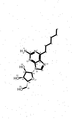 CCCCCCc1nc(N)nc2c1ncn2[C@@H]1O[C@H](CO)[C@@H](O)[C@H]1O